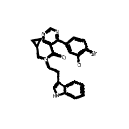 O=C(c1cncnc1-c1ccc(Br)c(Cl)c1)N(CCc1c[nH]c2ccccc12)CC1CC1